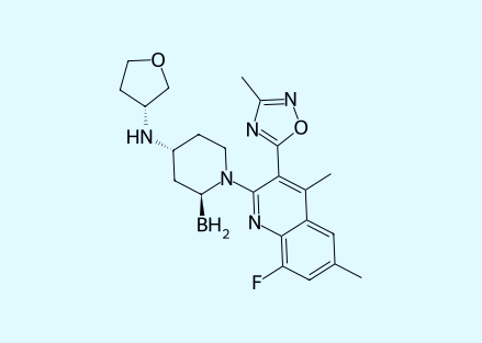 B[C@H]1C[C@H](N[C@@H]2CCOC2)CCN1c1nc2c(F)cc(C)cc2c(C)c1-c1nc(C)no1